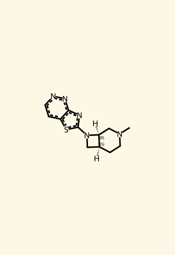 CN1CC[C@H]2CN(c3nc4nnccc4s3)[C@H]2C1